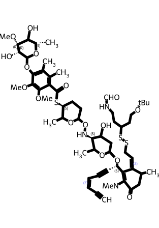 C#C/C=C\C#C[C@H](OC1CC(O)[C@H](NOC2CC[C@H](SC(=O)c3c(C)c(C)c(OC4O[C@@H](C)C(O)[C@@H](OC)[C@H]4O)c(OC)c3OC)C(C)O2)C(C)O1)C1=C(NC)C(=O)CC(C)/C1=C/CSSC(CCNC=O)CCOC(C)(C)C